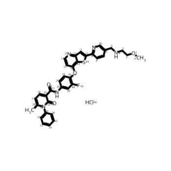 COCCNCc1ccc(-c2cc3nccc(Oc4ccc(NC(=O)c5ccc(C)n(-c6ccccc6)c5=O)cc4F)c3s2)nc1.Cl